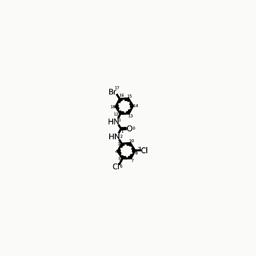 O=C(Nc1cc(Cl)cc(Cl)c1)Nc1cccc(Br)c1